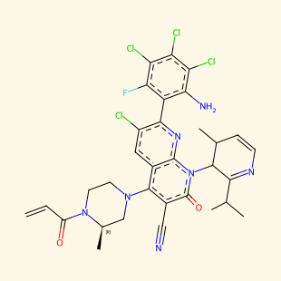 C=CC(=O)N1CCN(c2c(C#N)c(=O)n(C3C(C(C)C)=NC=CC3C)c3nc(-c4c(N)c(Cl)c(Cl)c(Cl)c4F)c(Cl)cc23)C[C@H]1C